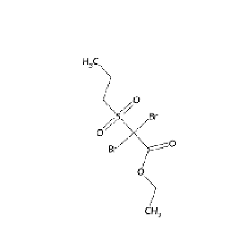 CCCS(=O)(=O)C(Br)(Br)C(=O)OCC